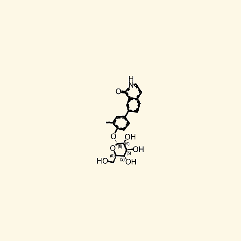 Cc1cc(-c2ccc3cc[nH]c(=O)c3c2)ccc1O[C@H]1O[C@H](CO)[C@@H](O)[C@H](O)[C@@H]1O